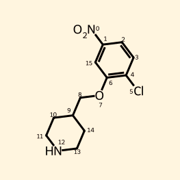 O=[N+]([O-])c1ccc(Cl)c(OCC2CCNCC2)c1